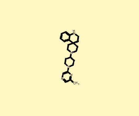 Cc1cncc(N2CCC(N3CCC4(CCNc5ccccc54)CC3)CC2)n1